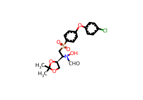 CC1(C)OC[C@H](C(CS(=O)(=O)c2ccc(Oc3ccc(Cl)cc3)cc2)N(O)C=O)O1